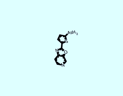 [AsH2]c1ccc(-c2nc3ccncc3o2)s1